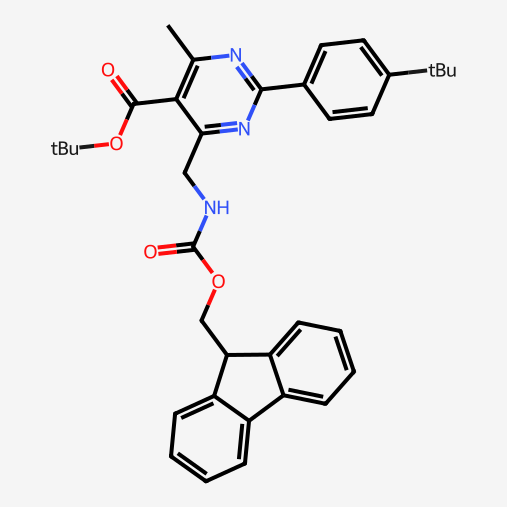 Cc1nc(-c2ccc(C(C)(C)C)cc2)nc(CNC(=O)OCC2c3ccccc3-c3ccccc32)c1C(=O)OC(C)(C)C